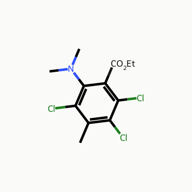 CCOC(=O)c1c(Cl)c(Cl)c(C)c(Cl)c1N(C)C